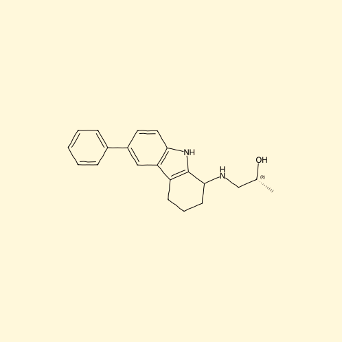 C[C@@H](O)CNC1CCCc2c1[nH]c1ccc(-c3ccccc3)cc21